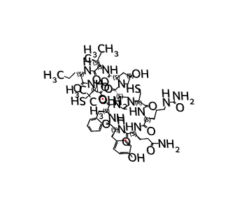 CCC[C@H](NC(=O)[C@@H](NC(=O)[C@@H]1C[C@@H](O)CN1C(=O)[C@@H]1CCCN1C(=O)[C@H](Cc1ccccc1)NC(=O)[C@H](Cc1ccc(O)cc1)NC(=O)[C@H](CCC(N)=O)NC(=O)[C@H](CCCNC(N)=O)NC(=O)[C@@H](N)CS)[C@@H](C)CC)C(=O)N[C@H](C(=O)O)C(C)(C)S